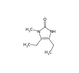 CCc1[nH]c(=O)n(C)c1CC